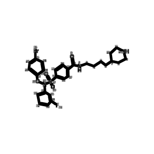 O=C(NCCCCC1CCNCC1)c1ccc(S(=O)(=O)N(Oc2ccc(Br)cc2)c2cccc(F)c2)cc1